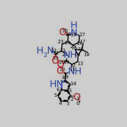 COc1cccc2[nH]c(C(=O)NC(CC3CC3(C)C)C(=O)NC(CC3CCCNC3=O)C(N)=O)cc12